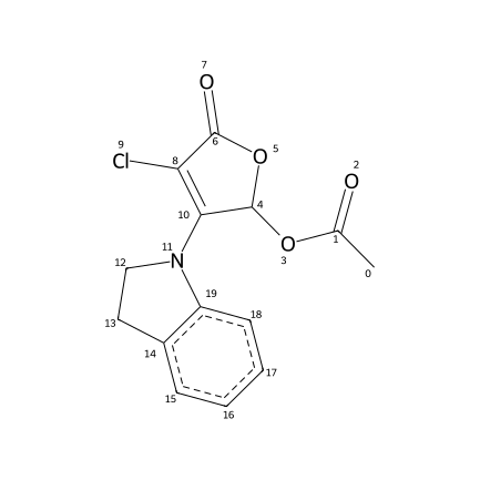 CC(=O)OC1OC(=O)C(Cl)=C1N1CCc2ccccc21